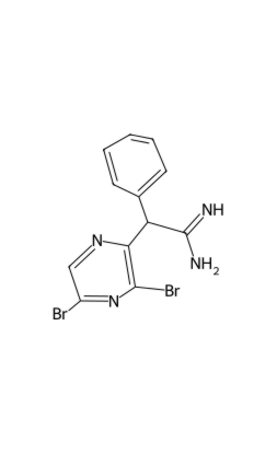 N=C(N)C(c1ccccc1)c1ncc(Br)nc1Br